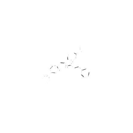 CCN(CC)c1ccc(/C=C2N=C(/C=C/c3ccc(C)cc3)N(CC(=O)OC)C\2=O)nc1